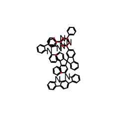 c1ccc(-c2nc(-c3ccccc3)nc(-c3ccc4c(c3)C3(c5ccccc5-4)c4cc(-n5c6ccccc6c6ccc7c8ccccc8n(-c8ccccc8)c7c65)ccc4-c4ccc(-n5c6ccccc6c6ccc7c8ccccc8n(-c8ccccc8)c7c65)cc43)n2)cc1